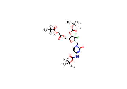 CC(C)(C)OC(=O)Nc1ccn(C[C@@H]2O[C@H](COC(=O)COC(=O)C(C)(C)C)[C@@H](OC(=O)OC(C)(C)C)C2(F)F)c(=O)n1